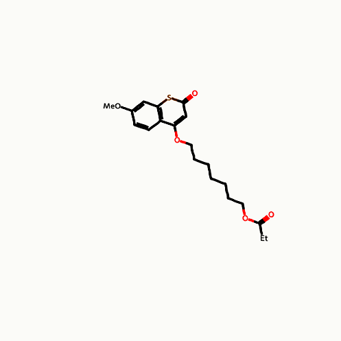 CCC(=O)OCCCCCCCOc1cc(=O)sc2cc(OC)ccc12